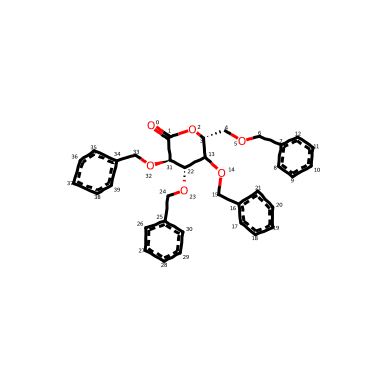 O=C1O[C@H](COCc2ccccc2)C(OCc2ccccc2)[C@H](OCc2ccccc2)[C@H]1OCc1ccccc1